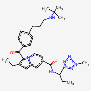 CCc1cc2cc(C(=O)NC(CC)c3nnn(C)n3)ccn2c1C(=O)c1ccc(CCCNC(C)(C)C)cc1